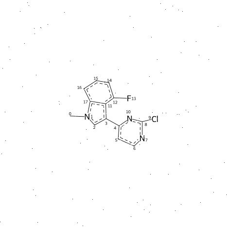 Cn1cc(-c2ccnc(Cl)n2)c2c(F)cccc21